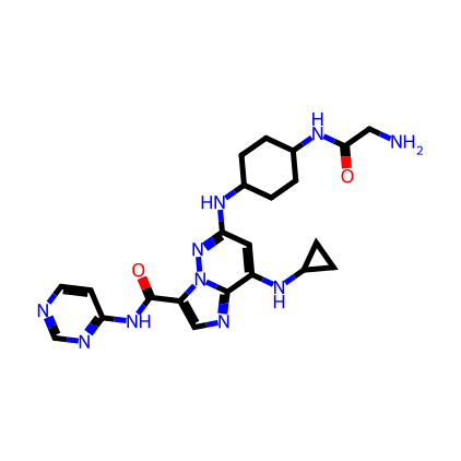 NCC(=O)NC1CCC(Nc2cc(NC3CC3)c3ncc(C(=O)Nc4ccncn4)n3n2)CC1